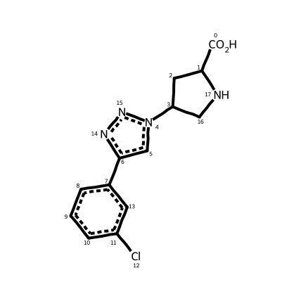 O=C(O)C1CC(n2cc(-c3cccc(Cl)c3)nn2)CN1